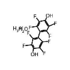 O.Oc1c(F)c(F)c(-c2c(F)c(F)c(O)c(F)c2F)c(F)c1F.[AlH3]